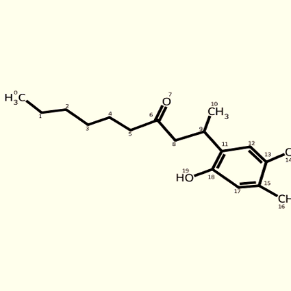 CCCCCCC(=O)CC(C)c1cc(O)c(C)cc1O